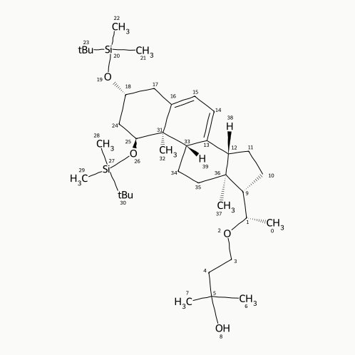 C[C@H](OCCC(C)(C)O)[C@H]1CC[C@H]2C3=CC=C4C[C@@H](O[Si](C)(C)C(C)(C)C)C[C@H](O[Si](C)(C)C(C)(C)C)[C@]4(C)[C@H]3CC[C@]12C